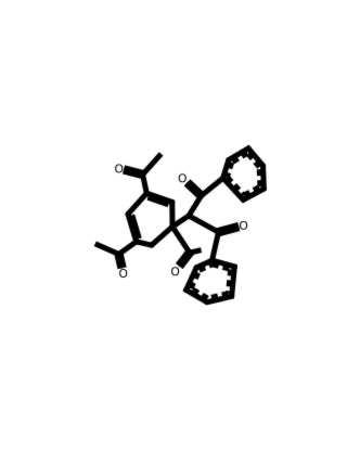 CC(=O)C1=CC(C(C)=O)(C(C(=O)c2ccccc2)C(=O)c2ccccc2)CC(C(C)=O)=C1